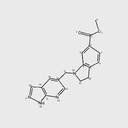 COC(=O)c1ccc2c(c1)N(Cc1cnc3[nH]ncc3c1)CC2